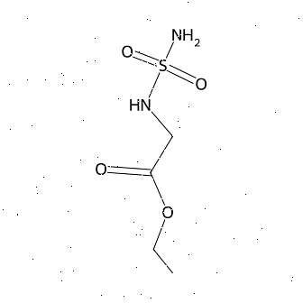 CCOC(=O)CNS(N)(=O)=O